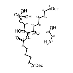 CCCCCCCCCCCCCCCC(=O)OC(C(=O)CCCCCCCCCCCCCCC)C(O)COP(=O)(O)O.NCCO